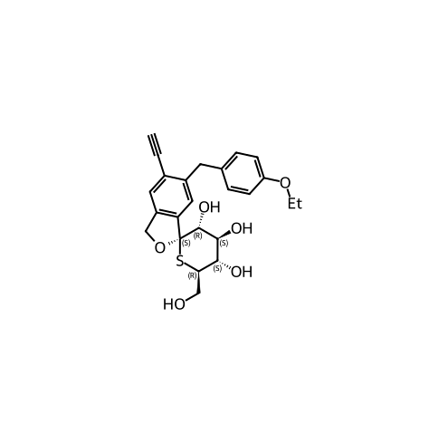 C#Cc1cc2c(cc1Cc1ccc(OCC)cc1)[C@]1(OC2)S[C@H](CO)[C@@H](O)[C@H](O)[C@H]1O